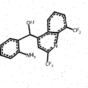 Nc1ccccc1C(O)c1cc(C(F)(F)F)nc2c(C(F)(F)F)cccc12